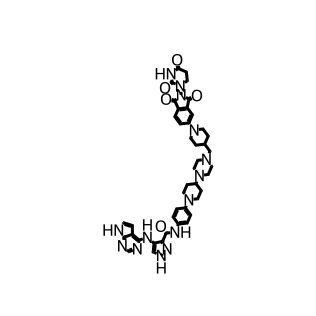 O=C1CCN(N2C(=O)c3ccc(N4CCC(CN5CCN(C6CCN(c7ccc(NC(=O)c8n[nH]cc8Nc8ncnc9[nH]ccc89)cc7)CC6)CC5)CC4)cc3C2=O)C(=O)N1